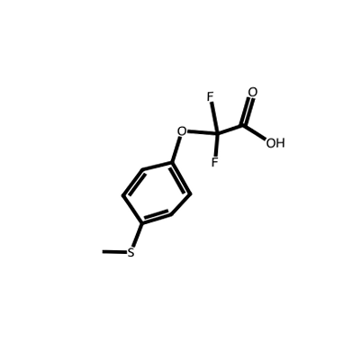 CSc1ccc(OC(F)(F)C(=O)O)cc1